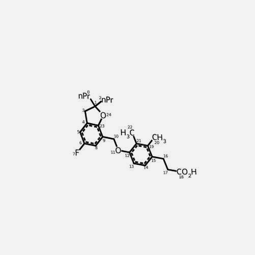 CCCC1(CCC)Cc2cc(F)cc(COc3ccc(CCC(=O)O)c(C)c3C)c2O1